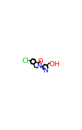 O=C1c2ccc(Cl)cc2CCN1c1cncc(CO)c1